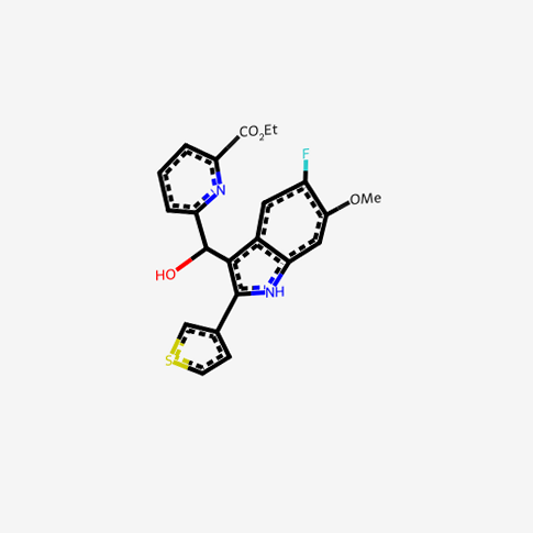 CCOC(=O)c1cccc(C(O)c2c(-c3ccsc3)[nH]c3cc(OC)c(F)cc23)n1